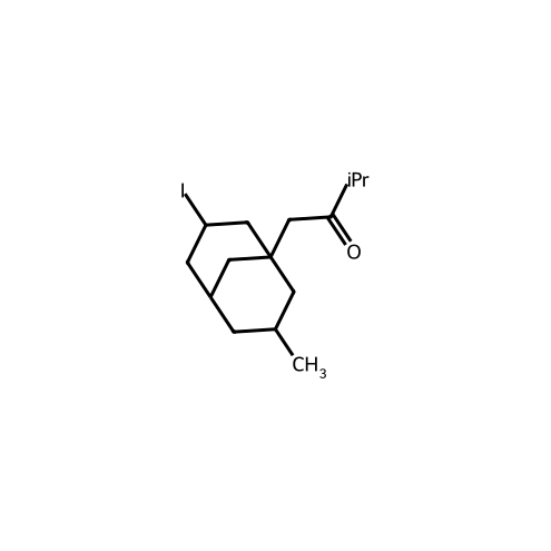 CC1CC2CC(I)CC(CC(=O)C(C)C)(C1)C2